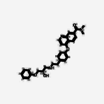 CN(C)C(=O)c1ccc2c(Oc3ccc(CCNC[C@H](O)COc4ccccc4)cc3)ccnc2c1